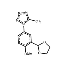 COc1ccc(-n2nnnc2C)cc1C1OCCO1